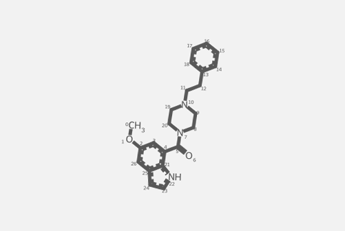 COc1cc(C(=O)N2CCN(CCc3ccccc3)CC2)c2[nH]ccc2c1